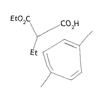 CCOC(=O)C(CC)C(=O)O.Cc1ccc(C)cc1